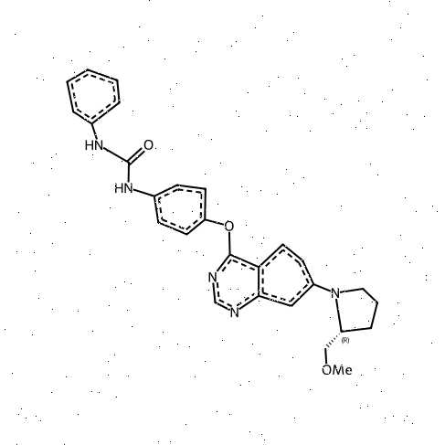 COC[C@H]1CCCN1c1ccc2c(Oc3ccc(NC(=O)Nc4ccccc4)cc3)ncnc2c1